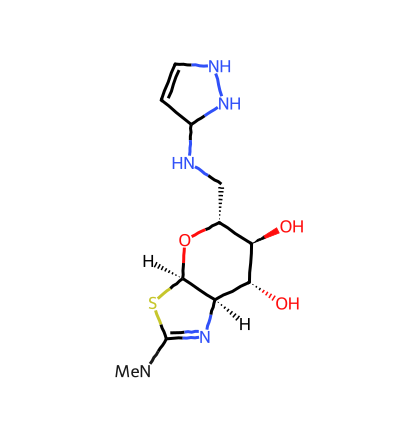 CNC1=N[C@@H]2[C@@H](O)[C@H](O)[C@@H](CNC3C=CNN3)O[C@@H]2S1